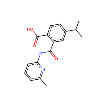 Cc1cccc(NC(=O)c2cc(C(C)C)ccc2C(=O)O)n1